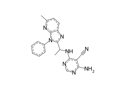 Cc1ccc2nc(C(C)Nc3ncnc(N)c3C#N)n(-c3ccccc3)c2n1